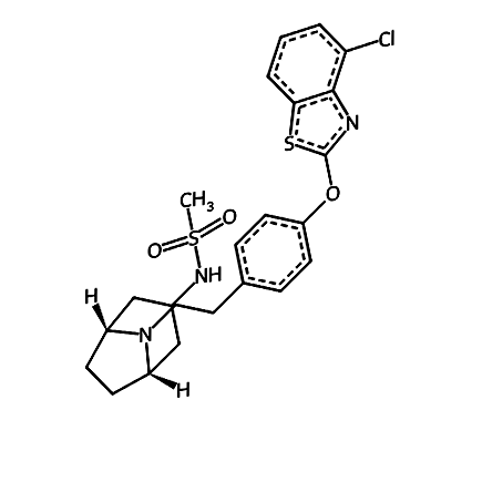 CS(=O)(=O)NC1C[C@H]2CC[C@@H](C1)N2CCc1ccc(Oc2nc3c(Cl)cccc3s2)cc1